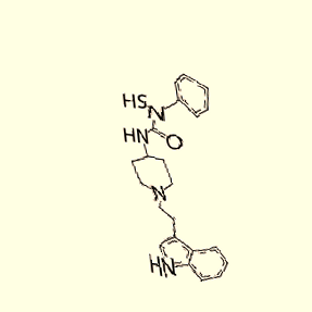 O=C(NC1CCN(CCc2c[nH]c3ccccc23)CC1)N(S)c1ccccc1